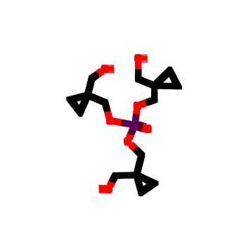 O=P(OCC1(CO)CC1)(OCC1(CO)CC1)OCC1(CO)CC1